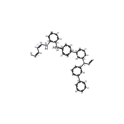 C=CC(c1cccc(-c2ccccc2)c1)c1cccc(-c2ccc(Nc3ccccc3N/C=C\C=C/C)cc2)c1